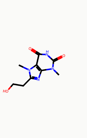 Cn1c(CCO)nc2c1c(=O)[nH]c(=O)n2C